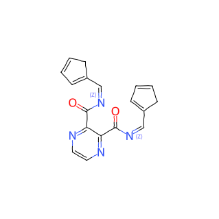 O=C(/N=C\C1=CC=CC1)c1nccnc1C(=O)/N=C\C1=CC=CC1